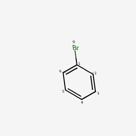 Brc1[c]ccc[c]1